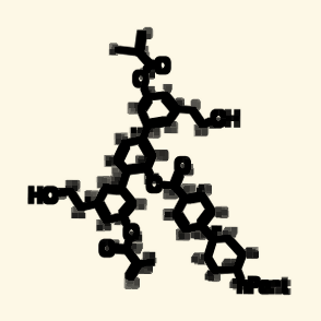 C=C(C)C(=O)Oc1cc(CCO)cc(-c2ccc(-c3cc(CCO)cc(OC(=O)C(=C)C)c3)c(OC(=O)c3ccc(C4CCC(CCCCC)CC4)cc3)c2)c1